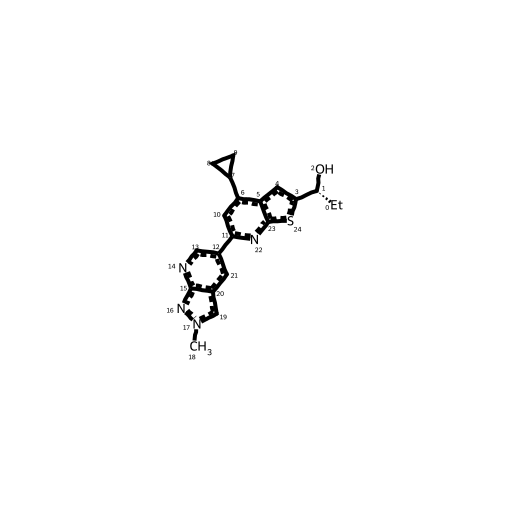 CC[C@@H](O)c1cc2c(C3CC3)cc(-c3cnc4nn(C)cc4c3)nc2s1